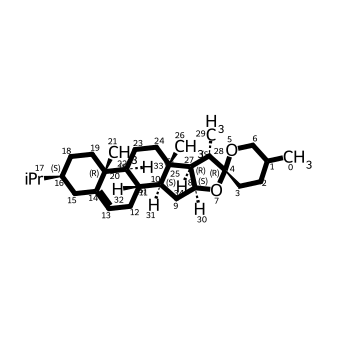 CC1CC[C@@]2(OC1)O[C@H]1C[C@H]3[C@@H]4CC=C5C[C@@H](C(C)C)CC[C@]5(C)[C@H]4CC[C@]3(C)[C@H]1[C@@H]2C